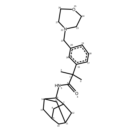 CC(C)(C(=O)NC1C2CC3CC(C2)CC1C3)c1cccc(CN2CCOCC2)c1